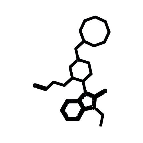 CCn1c(=O)n(C2CCN(CC3CCCCCCC3)CC2CCC=O)c2ccccc21